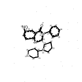 O=c1c2cc([N+](=O)[O-])ccc2nc([C@@H]2CCCN2C2CCOCC2)n1-c1ccccc1